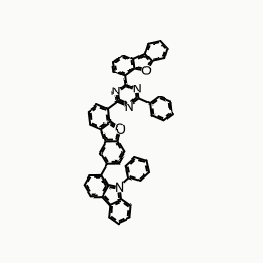 c1ccc(-c2nc(-c3cccc4c3oc3ccccc34)nc(-c3cccc4c3oc3ccc(-c5cccc6c7ccccc7n(-c7ccccc7)c56)cc34)n2)cc1